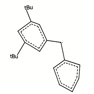 CC(C)(C)c1cc([CH]c2ccccc2)cc(C(C)(C)C)c1